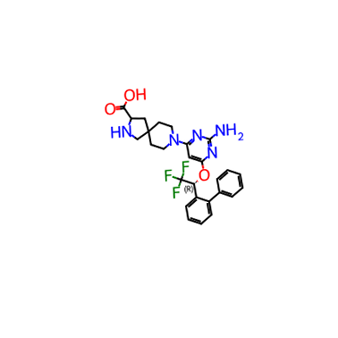 Nc1nc(O[C@H](c2ccccc2-c2ccccc2)C(F)(F)F)cc(N2CCC3(CC2)CNC(C(=O)O)C3)n1